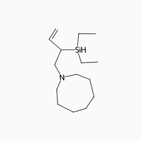 C=CC(CN1CCCCCCC1)[SiH](CC)CC